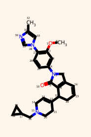 COc1cc(N2CC3=C(C2=O)C(C2=CCN(CC4CC4)CC2)CC=C3)ccc1-n1cnc(C)c1